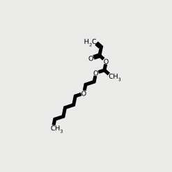 C=CC(=O)OC(C)OCCOCCCCCC